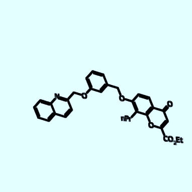 CCCc1c(OCc2cccc(OCc3ccc4ccccc4n3)c2)ccc2c(=O)cc(C(=O)OCC)oc12